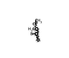 CCOC(=O)CCc1ccc(Sc2cc(Br)cc(OCC3CCCC3)c2)cc1C